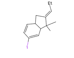 CC/C=C1\CC2C=CC(I)=CC2C1(C)C